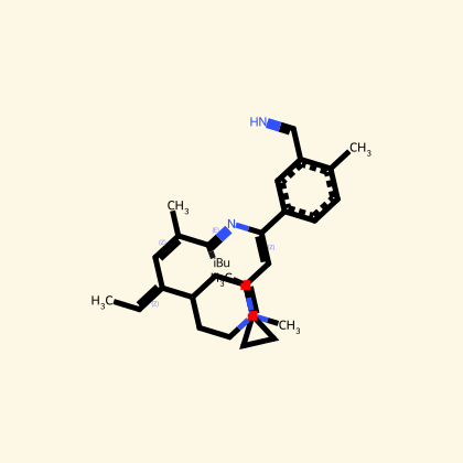 C\C=C(/C=C(C)\C(=N\C(=C/C(C)=C1CC1)c1ccc(C)c(C=N)c1)C(C)CC)C1CCN(C)CC1